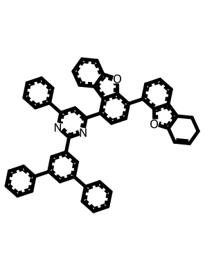 C1=Cc2oc3c(-c4ccc(-c5cc(-c6ccccc6)nc(-c6cc(-c7ccccc7)cc(-c7ccccc7)c6)n5)c5c4oc4ccccc45)cccc3c2CC1